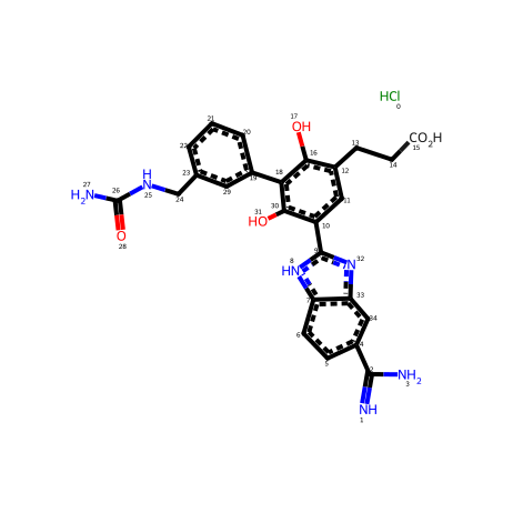 Cl.N=C(N)c1ccc2[nH]c(-c3cc(CCC(=O)O)c(O)c(-c4cccc(CNC(N)=O)c4)c3O)nc2c1